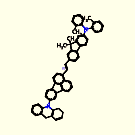 Cc1ccccc1N(c1ccc2c(c1)C(C)(C)c1cc(/C=C/c3ccc4c5c(cccc35)-c3cc(N5C6=C(C=CCC6)Cc6ccccc65)ccc3-4)ccc1-2)c1ccccc1C